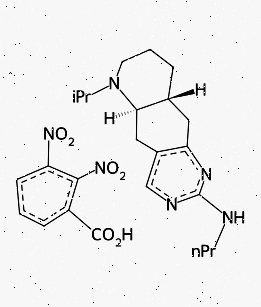 CCCNc1ncc2c(n1)C[C@H]1CCCN(C(C)C)[C@@H]1C2.O=C(O)c1cccc([N+](=O)[O-])c1[N+](=O)[O-]